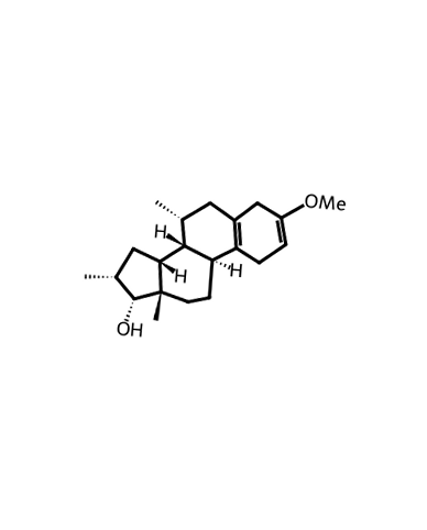 COC1=CCC2=C(C1)C[C@@H](C)[C@@H]1[C@@H]2CC[C@]2(C)[C@H](O)[C@H](C)C[C@H]12